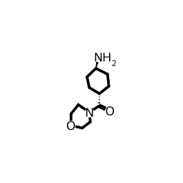 N[C@H]1CC[C@H](C(=O)N2CCOCC2)CC1